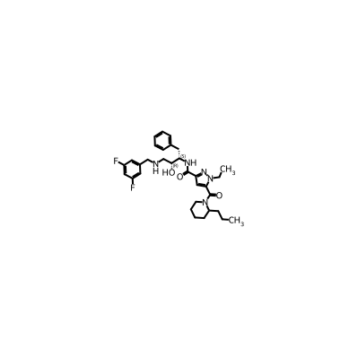 CCCC1CCCCN1C(=O)c1cc(C(=O)N[C@@H](Cc2ccccc2)[C@H](O)CNCc2cc(F)cc(F)c2)nn1CC